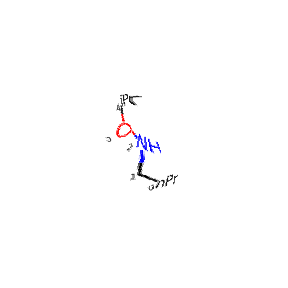 CCCCNOC(C)C